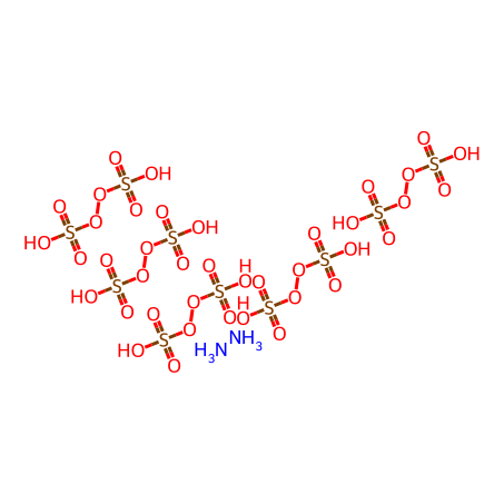 N.N.O=S(=O)(O)OOS(=O)(=O)O.O=S(=O)(O)OOS(=O)(=O)O.O=S(=O)(O)OOS(=O)(=O)O.O=S(=O)(O)OOS(=O)(=O)O.O=S(=O)(O)OOS(=O)(=O)O